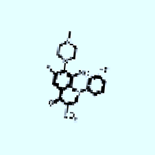 CN1CCN(c2c(F)cc3c(=O)c(C(=O)O)cn(-c4ccccc4)c3c2[N+](=O)[O-])CC1.Cl